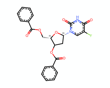 O=C(OC[C@@H]1O[C@H](n2cc(F)c(=O)[nH]c2=O)CC1OC(=O)c1ccccc1)c1ccccc1